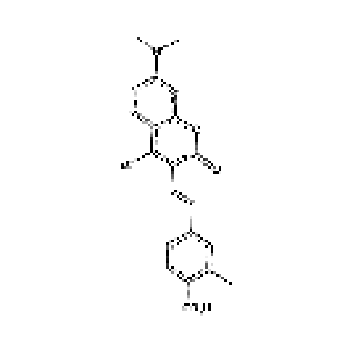 CCc1c(/C=C/c2ccc(C(=O)O)c(C)c2)c(=O)oc2cc(N(C)C)ccc12